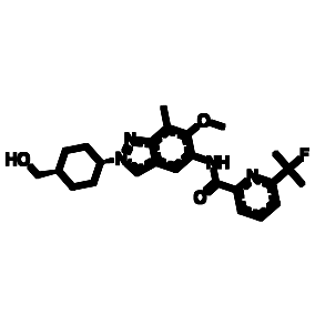 COc1c(NC(=O)c2cccc(C(C)(C)F)n2)cc2cn([C@H]3CC[C@H](CO)CC3)nc2c1C